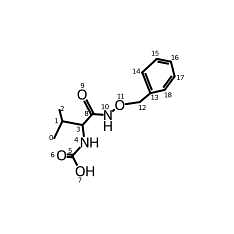 CC(C)C(NC(=O)O)C(=O)NOCc1ccccc1